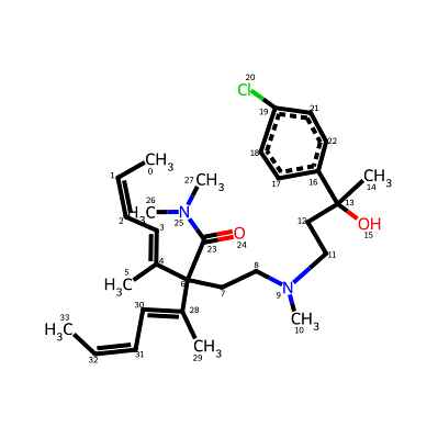 C/C=C\C=C(/C)C(CCN(C)CCC(C)(O)c1ccc(Cl)cc1)(C(=O)N(C)C)/C(C)=C/C=C\C